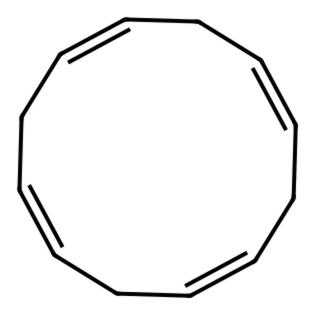 C1=CCC=CCC=CCC=CC1